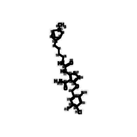 CN1CC2CC1CN2CCCCNC(=O)Nc1snc(OCc2cc(F)c(Cl)cc2F)c1C(N)=O